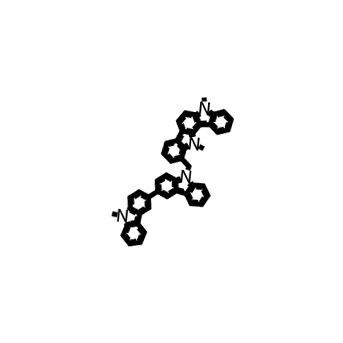 Cn1c2ccccc2c2cc(-c3ccc4c(c3)c3ccccc3n4Cc3cccc4c5ccc6c(c7ccccc7n6C)c5n(C)c34)ccc21